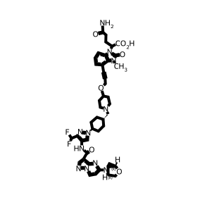 Cn1c(=O)n(C(CCC(N)=O)C(=O)O)c2cccc(C#CCOC3CCN(C[C@H]4CC[C@H](n5cc(NC(=O)c6cnn7ccc(N8C[C@H]9C[C@@H]8CO9)nc67)c(C(F)F)n5)CC4)CC3)c21